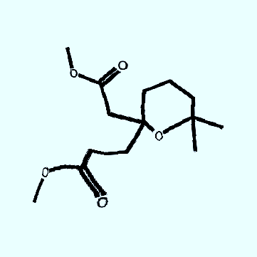 COC(=O)CCC1(CC(=O)OC)CCCC(C)(C)O1